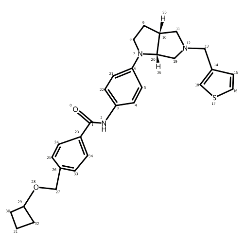 O=C(Nc1ccc(N2CC[C@@H]3CN(Cc4ccsc4)C[C@@H]32)cc1)c1ccc(COC2CCC2)cc1